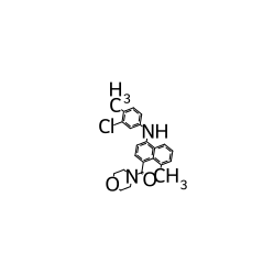 Cc1ccc(Nc2ccc(C(=O)N3CCOCC3)c3c(C)cccc23)cc1Cl